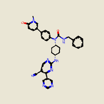 Cn1cc(-c2ccc(N(C(=O)NCc3ccccc3)[C@H]3CC[C@@H](Nc4ncc(C#N)c(-c5cncnc5)n4)CC3)cc2)ccc1=O